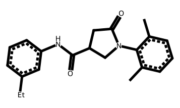 CCc1cccc(NC(=O)C2CC(=O)N(c3c(C)cccc3C)C2)c1